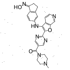 CN1CCN(C(=O)c2cnc(-c3oc4cnccc4c3Nc3ccc4c(c3)CC/C4=N/O)nc2)CC1